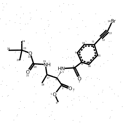 COC(=O)[C@@H](NC(=O)c1ccc(C#CBr)cc1)C(C)NC(=O)OC(C)(C)C